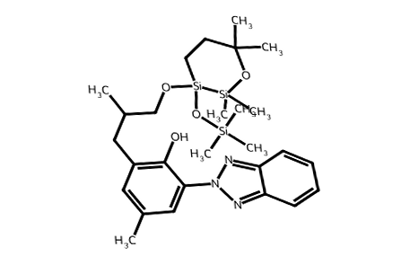 Cc1cc(CC(C)CO[Si]2(O[Si](C)(C)C)CCC(C)(C)O[Si]2(C)C)c(O)c(-n2nc3ccccc3n2)c1